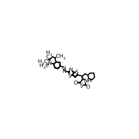 CC1CC(C)(C)N(C)c2ccc(/N=N/c3nc4sc(/C(CC5CCCCC5)=C5/NC(=O)SC5=O)cc4s3)cc21